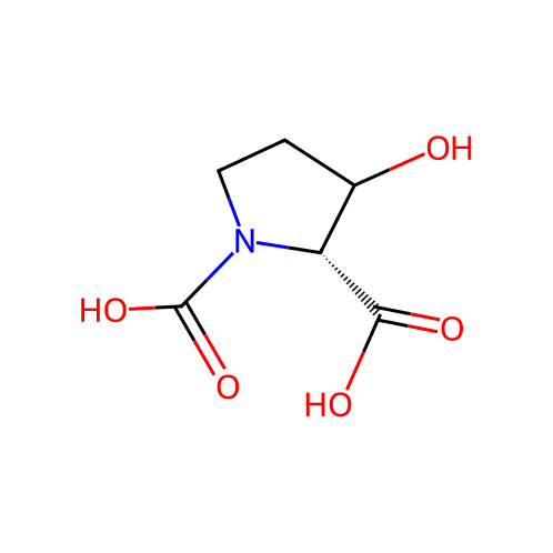 O=C(O)[C@H]1C(O)CCN1C(=O)O